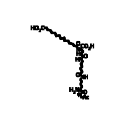 CC(=O)CN(C)C(=O)[C@@H](N)CCCCNC(=O)CCCCCNC(=O)CC[C@H](NC(=O)CCCCCCCCCCCCCCC(=O)O)C(=O)O